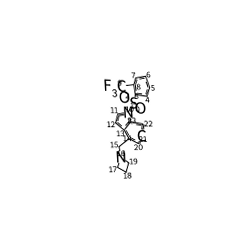 O=S(=O)(c1ccccc1C(F)(F)F)n1ccc2c(CN3CCC3)cccc21